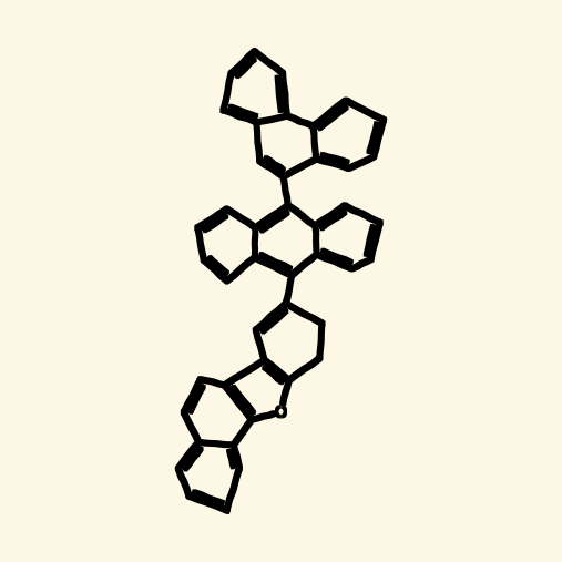 C1=C(c2c3ccccc3c(-c3cc4ccccc4c4ccccc34)c3ccccc23)CCc2oc3c(ccc4ccccc43)c21